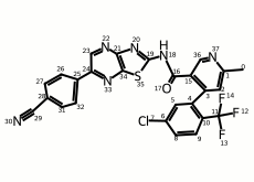 Cc1cc(-c2cc(Cl)ccc2C(F)(F)F)c(C(=O)Nc2nc3ncc(-c4ccc(C#N)cc4)nc3s2)cn1